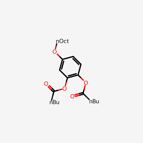 CCCCCCCCOc1ccc(OC(=O)CCCC)c(OC(=O)CCCC)c1